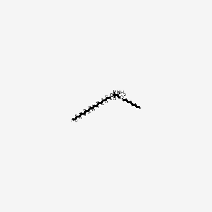 CCC=CCCCCOCC(N)C(C)(C)OCCCCCCCCC=CCC=CCCCCC